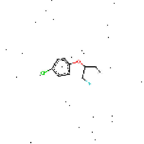 CC(=O)CC(CF)Oc1ccc(Cl)cc1